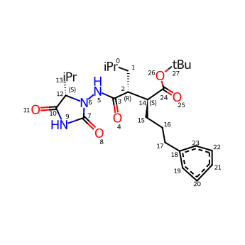 CC(C)C[C@@H](C(=O)NN1C(=O)NC(=O)[C@@H]1C(C)C)[C@H](CCCc1ccccc1)C(=O)OC(C)(C)C